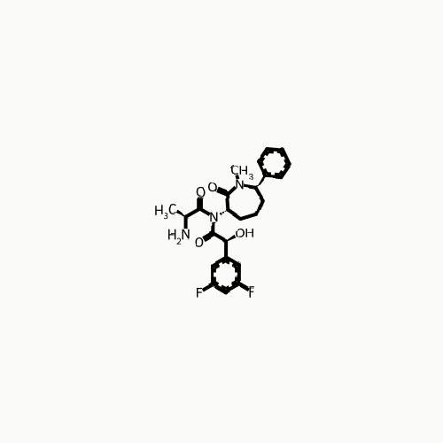 C[C@H](N)C(=O)N(C(=O)[C@@H](O)c1cc(F)cc(F)c1)[C@H]1CCC[C@H](c2ccccc2)N(C)C1=O